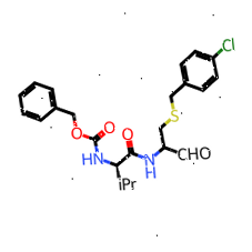 CC(C)[C@@H](NC(=O)OCc1ccccc1)C(=O)NC(C=O)CSCc1ccc(Cl)cc1